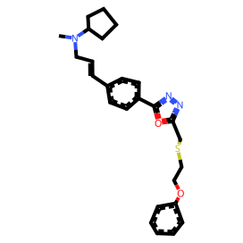 CN(CC=Cc1ccc(-c2nnc(CSCCOc3ccccc3)o2)cc1)C1CCCC1